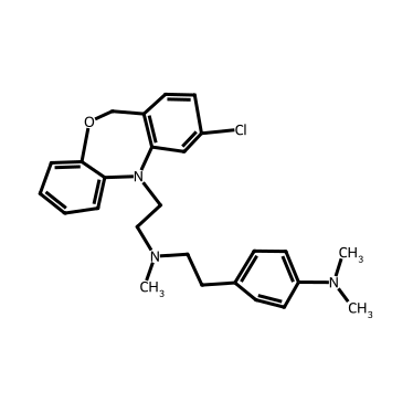 CN(CCc1ccc(N(C)C)cc1)CCN1c2cc(Cl)ccc2COc2ccccc21